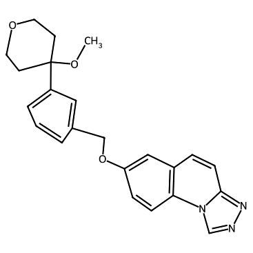 COC1(c2cccc(COc3ccc4c(ccc5nncn54)c3)c2)CCOCC1